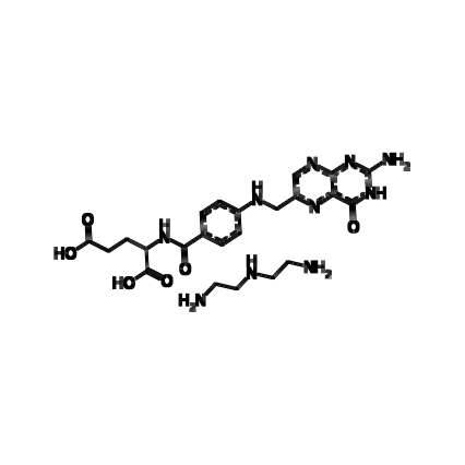 NCCNCCN.Nc1nc2ncc(CNc3ccc(C(=O)NC(CCC(=O)O)C(=O)O)cc3)nc2c(=O)[nH]1